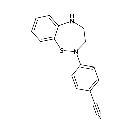 N#Cc1ccc(N2CCNc3ccccc3S2)cc1